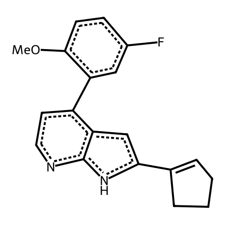 COc1ccc(F)cc1-c1ccnc2[nH]c(C3=CCCC3)cc12